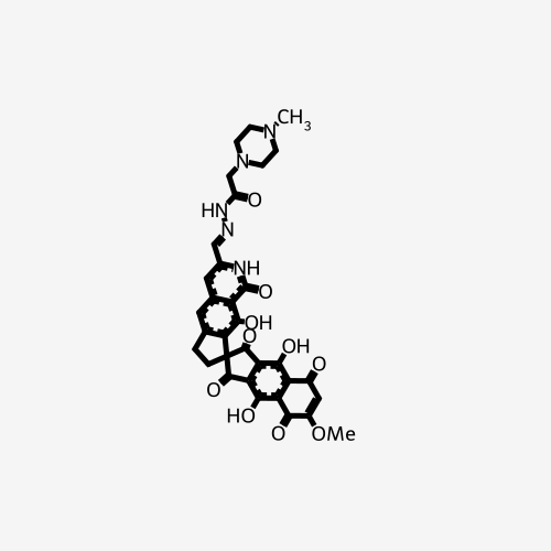 COC1=CC(=O)c2c(O)c3c(c(O)c2C1=O)C(=O)C1(CCc2cc4cc(C=NNC(=O)CN5CCN(C)CC5)[nH]c(=O)c4c(O)c21)C3=O